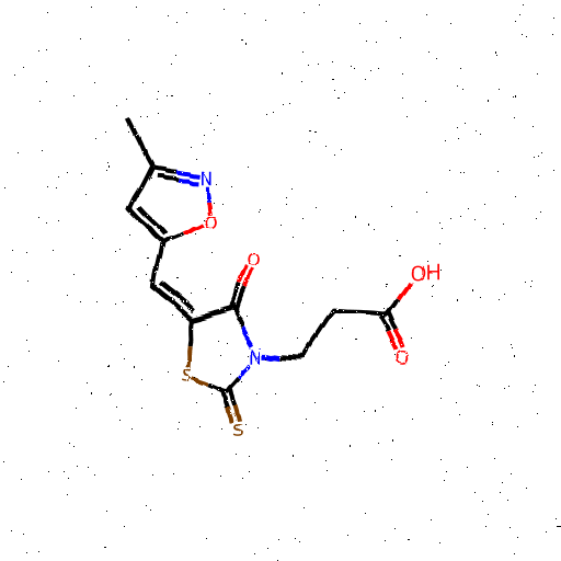 Cc1cc(/C=C2/SC(=S)N(CCC(=O)O)C2=O)on1